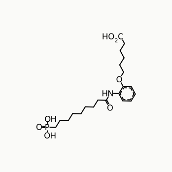 O=C(O)CCCCCOc1ccccc1NC(=O)CCCCCCCCP(=O)(O)O